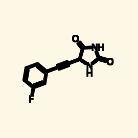 O=C1NC(=O)C(C#Cc2cccc(F)c2)N1